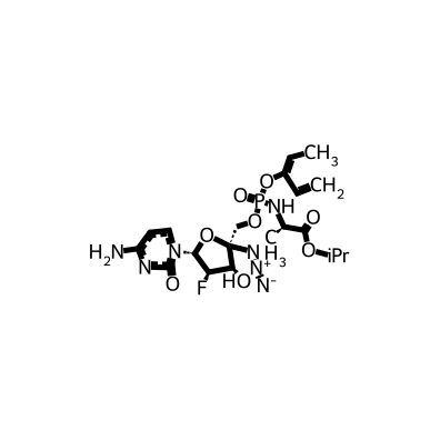 C=C/C(=C\C)OP(=O)(N[C@@H](C)C(=O)OC(C)C)OC[C@@]1(N=[N+]=[N-])O[C@@H](n2ccc(N)nc2=O)[C@H](F)[C@@H]1O